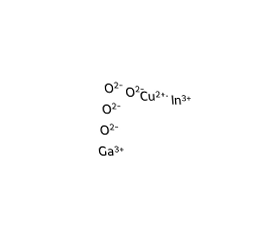 [Cu+2].[Ga+3].[In+3].[O-2].[O-2].[O-2].[O-2]